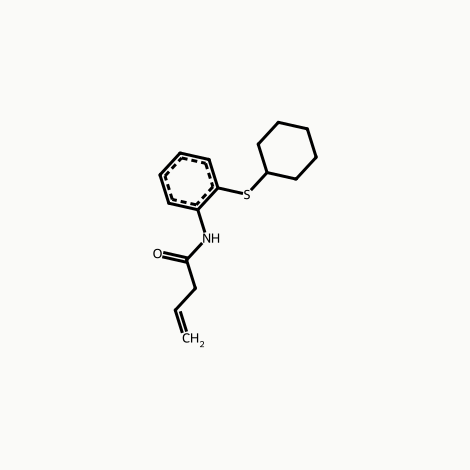 C=CCC(=O)Nc1ccccc1SC1CCCCC1